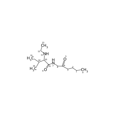 CCCCC(=O)CNC(=O)C(NCC)C(C)C